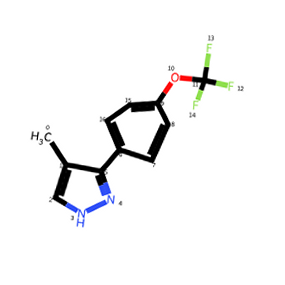 Cc1c[nH]nc1-c1ccc(OC(F)(F)F)cc1